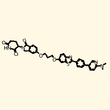 CN(C)c1ccc(-c2ccc(-c3nc4ccc(OCCCOc5ccc6c(c5)CN(C5CCC(=O)NC5=O)C6=O)cc4s3)cc2)cn1